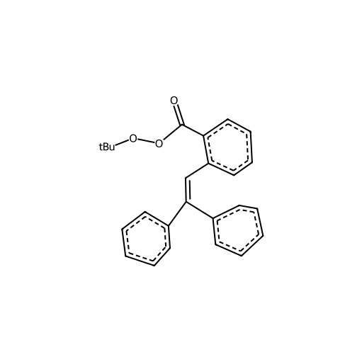 CC(C)(C)OOC(=O)c1ccccc1C=C(c1ccccc1)c1ccccc1